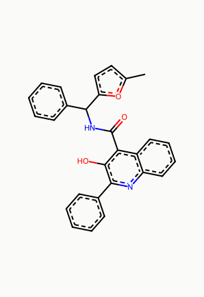 Cc1ccc(C(NC(=O)c2c(O)c(-c3ccccc3)nc3ccccc23)c2ccccc2)o1